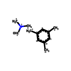 CN(C)C=O.Cc1cc(C)cc(C)c1